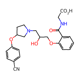 N#Cc1ccc(OC2CCN(CC(O)COc3ccccc3C(=O)NCC(=O)O)C2)cc1